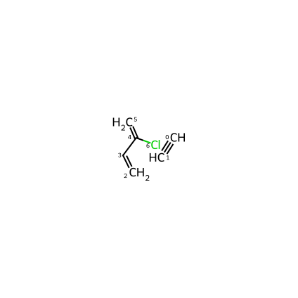 C#C.C=CC(=C)Cl